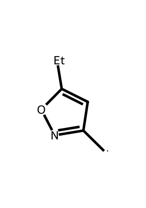 [CH2]c1cc(CC)on1